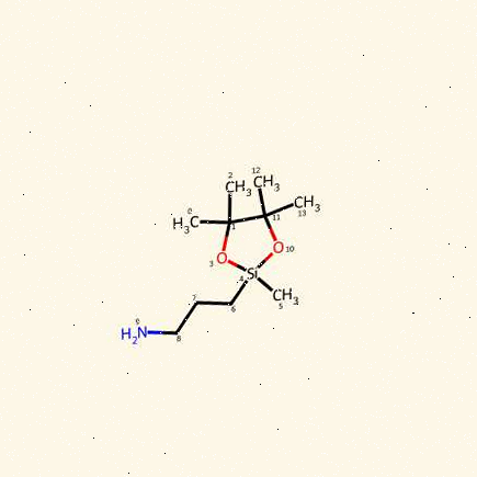 CC1(C)O[Si](C)(CCCN)OC1(C)C